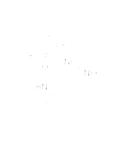 FCC(F)(F)C(F)(F)F.O=C1NC(=O)c2c1ccc([N+](=O)[O-])c2[N+](=O)[O-]